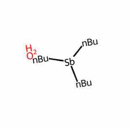 CCC[CH2][Sb]([CH2]CCC)[CH2]CCC.O